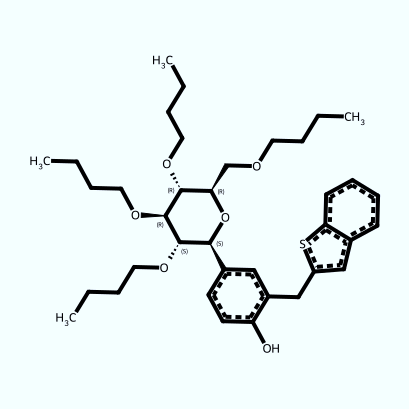 CCCCOC[C@H]1O[C@@H](c2ccc(O)c(Cc3cc4ccccc4s3)c2)[C@H](OCCCC)[C@@H](OCCCC)[C@@H]1OCCCC